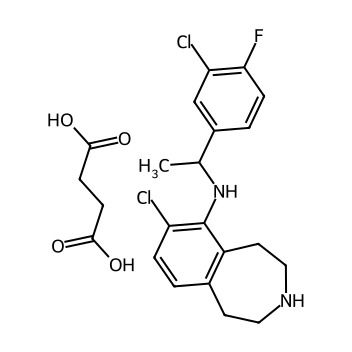 CC(Nc1c(Cl)ccc2c1CCNCC2)c1ccc(F)c(Cl)c1.O=C(O)CCC(=O)O